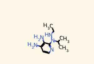 CCNN(c1nccc(N)c1N)C(C)C